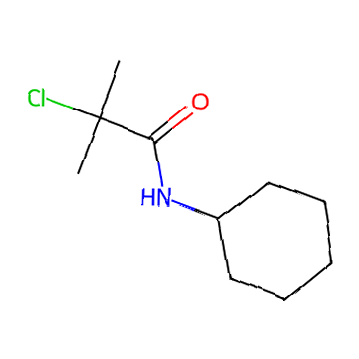 CC(C)(Cl)C(=O)NC1CCCCC1